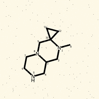 CN1CC2CNCCN2CC12CC2